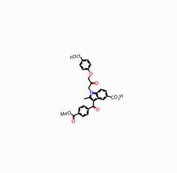 CCCCCCCCc1ccc(OCC(=O)Cn2c(C)c(C(=O)c3ccc(C(=O)OC)cc3)c3cc(C(=O)O)ccc32)cc1